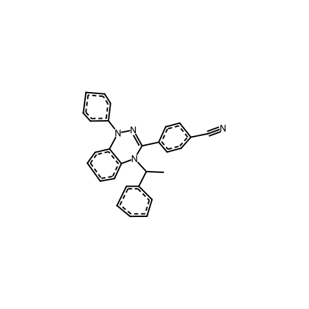 CC(c1ccccc1)N1C(c2ccc(C#N)cc2)=NN(c2ccccc2)c2ccccc21